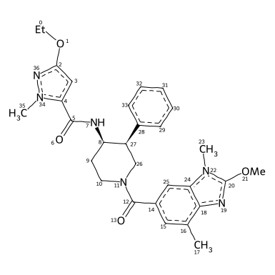 CCOc1cc(C(=O)N[C@@H]2CCN(C(=O)c3cc(C)c4nc(OC)n(C)c4c3)C[C@@H]2c2ccccc2)n(C)n1